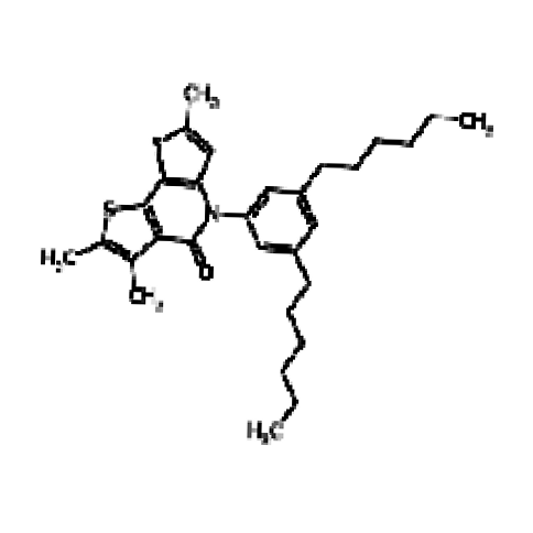 CCCCCCc1cc(CCCCCC)cc(-n2c(=O)c3c(C)c(C)sc3c3sc(C)cc32)c1